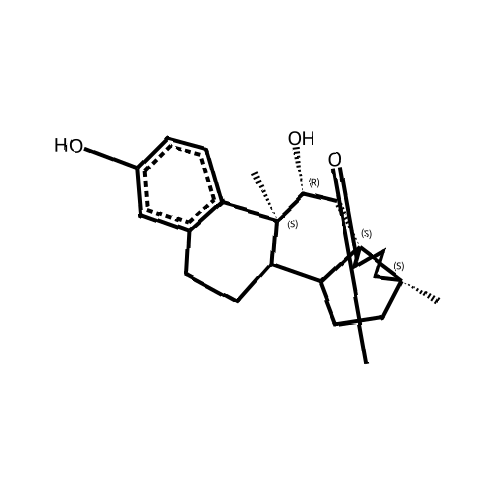 C[C@]12CCC(=O)[C@]13C[C@@H](O)[C@]1(C)c4ccc(O)cc4CCC1C3CC2